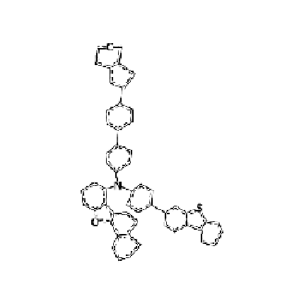 c1ccc2cc(-c3ccc(-c4ccc(N(c5ccc(-c6ccc7c(c6)sc6ccccc67)cc5)c5cccc6oc7c8ccccc8ccc7c56)cc4)cc3)ccc2c1